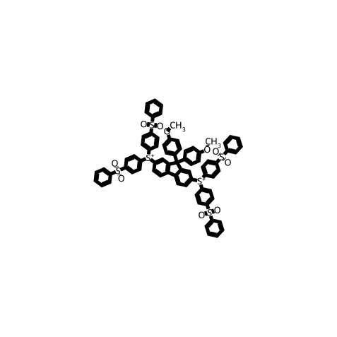 COc1ccc(C2(c3ccc(OC)cc3)c3cc([S+](c4ccc(S(=O)(=O)c5ccccc5)cc4)c4ccc(S(=O)(=O)c5ccccc5)cc4)ccc3-c3ccc([S+](c4ccc(S(=O)(=O)c5ccccc5)cc4)c4ccc(S(=O)(=O)c5ccccc5)cc4)cc32)cc1